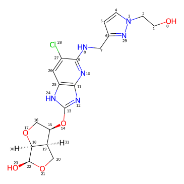 OCCn1ccc(CNc2nc3nc(O[C@@H]4CO[C@H]5[C@@H]4CO[C@H]5O)[nH]c3cc2Cl)n1